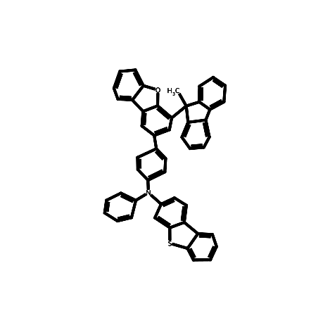 CC1(c2cc(-c3ccc(N(c4ccccc4)c4ccc5c(c4)sc4ccccc45)cc3)cc3c2oc2ccccc23)c2ccccc2-c2ccccc21